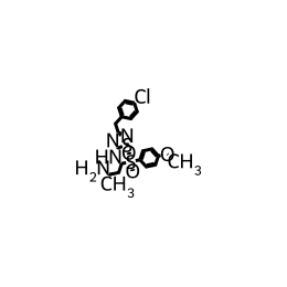 COc1ccc(S(=O)(=O)C(CC(C)N)Nc2nc(Cc3ccc(Cl)cc3)ns2)cc1